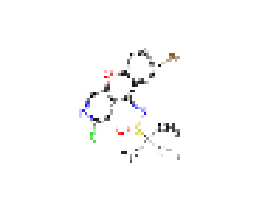 CC(C)(C)[S@@+]([O-])N=c1c2cc(Br)ccc2oc2cnc(Cl)cc12